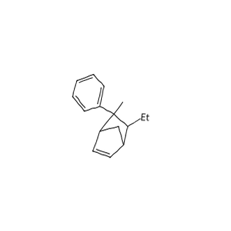 CCC1C2C=CC(C2)C1(C)c1ccccc1